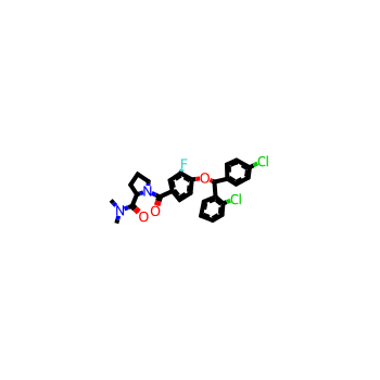 CN(C)C(=O)C1CCCN1C(=O)c1ccc(OC(c2ccc(Cl)cc2)c2ccccc2Cl)c(F)c1